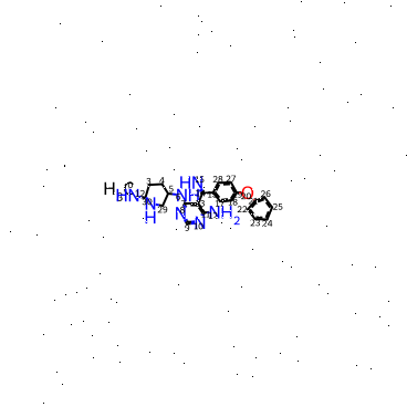 CNC1CCC(Nc2ncnc(N)c2C(=N)c2ccc(Oc3ccccc3)cc2)CN1